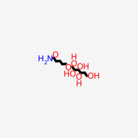 NC(=O)CCCCOC(O)C(O)C(O)C(O)CCO